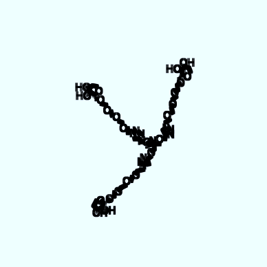 NC(COCc1cn(CCOCCOCCOCCOC[C@H]2OCC[C@@H](O)[C@H]2O)nn1)(COCc1cn(CCOCCOCCOCCOC[C@H]2OCC[C@@H](O)[C@H]2O)nn1)COCc1cn(CCOCCOCCOCCOC[C@H]2OCC[C@@H](O)[C@H]2O)nn1